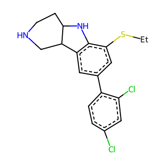 CCSc1cc(-c2ccc(Cl)cc2Cl)cc2c1NC1CCNCC21